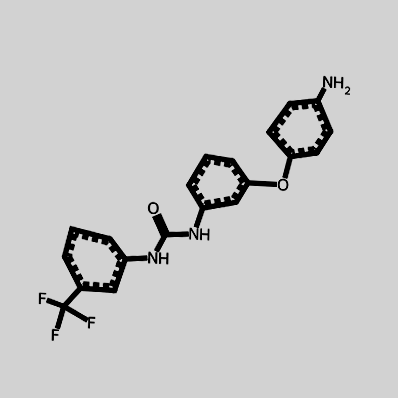 Nc1ccc(Oc2cccc(NC(=O)Nc3cccc(C(F)(F)F)c3)c2)cc1